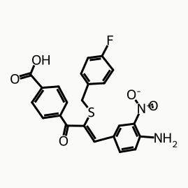 Nc1ccc(C=C(SCc2ccc(F)cc2)C(=O)c2ccc(C(=O)O)cc2)cc1[N+](=O)[O-]